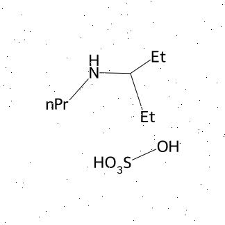 CCCNC(CC)CC.O=S(=O)(O)O